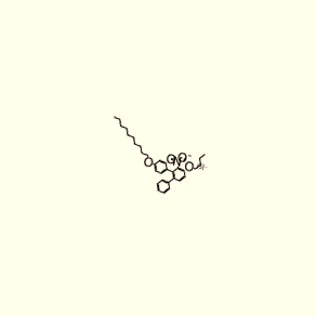 CCCCCCCCCCOc1ccc(-c2c(-c3ccccc3)ccc(OC[C@@H](C)CC)c2[N+](=O)[O-])cc1